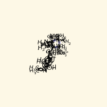 C/C1=C2N=C(/C=C3N=C(/C(C)=C4\[N-][C@@](C)([C@@H]5N=C1[C@](C)(CCC(=O)NCC(C)OP(=O)([O-])O[C@H]1[C@@H](O)[C@@H](n6cnc7cc(C)c(C)cc76)O[C@@H]1CO)[C@H]5CC(N)=O)[C@@](C)(CC(N)=O)[C@@H]4CCC(N)=O)[C@@](C)(CC(N)=O)[C@@H]\3CCC(N)=O)C(C)(C)[C@@H]/2CCC(N)=O.[CH3-].[Co+3]